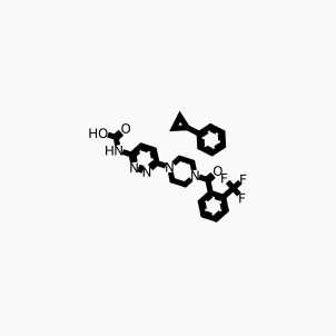 O=C(O)Nc1ccc(N2CCN(C(=O)c3ccccc3C(F)(F)F)CC2)nn1.c1ccc(C2CC2)cc1